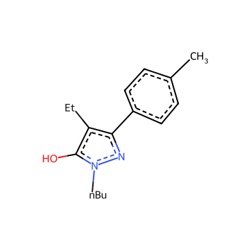 CCCCn1nc(-c2ccc(C)cc2)c(CC)c1O